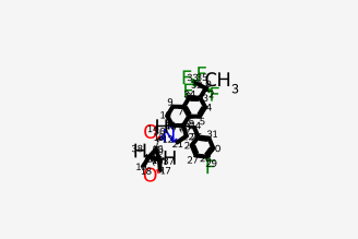 CC(F)(c1ccc2c(c1)CC[C@H]1N(C(=O)[C@@H]3[C@@H]4COC[C@@H]43)CC[C@@]21Cc1ccc(F)cc1)C(F)(F)F